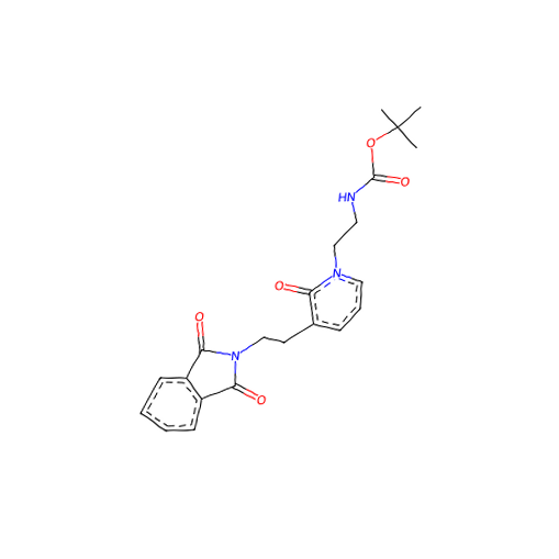 CC(C)(C)OC(=O)NCCn1cccc(CCN2C(=O)c3ccccc3C2=O)c1=O